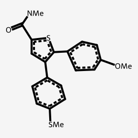 CNC(=O)c1cc(-c2ccc(SC)cc2)c(-c2ccc(OC)cc2)s1